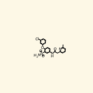 Cc1cccc(CC(=O)Nc2ccc(Oc3cccc(Cl)c3)c(S(N)(=O)=O)c2)n1